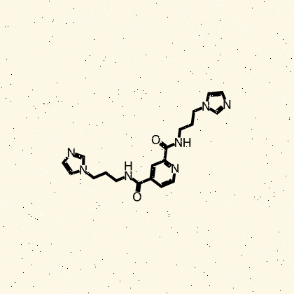 O=C(NCCCn1ccnc1)c1ccnc(C(=O)NCCCn2ccnc2)c1